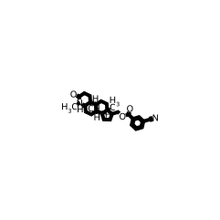 CN1C(=O)CC[C@]2(C)[C@H]3CC[C@]4(C)C(COC(=O)c5cccc(C#N)c5)CC[C@H]4[C@@H]3CC[C@@H]12